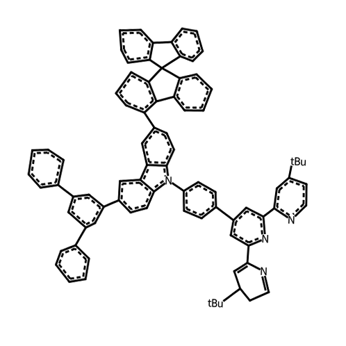 CC(C)(C)c1ccnc(-c2cc(-c3ccc(-n4c5ccc(-c6cc(-c7ccccc7)cc(-c7ccccc7)c6)cc5c5cc(-c6cccc7c6-c6ccccc6C76c7ccccc7-c7ccccc76)ccc54)cc3)cc(C3=CC(C(C)(C)C)CC=N3)n2)c1